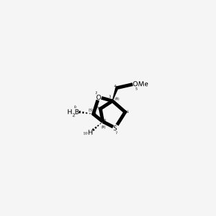 B[C@@H]1O[C@]2(COC)CS[C@@H]1C2